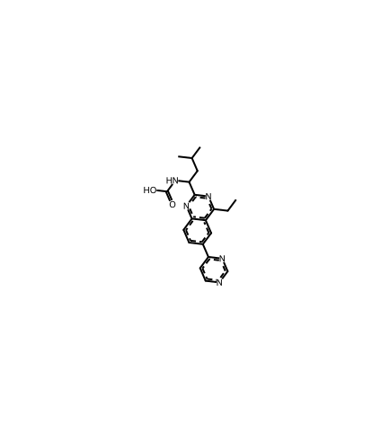 CCc1nc(C(CC(C)C)NC(=O)O)nc2ccc(-c3ccncn3)cc12